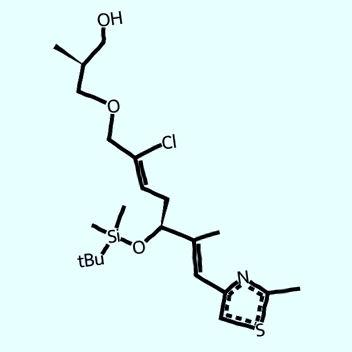 C/C(=C\c1csc(C)n1)[C@H](C/C=C(\Cl)COC[C@@H](C)CO)O[Si](C)(C)C(C)(C)C